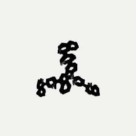 c1ccc2nc(-c3ccc(-n4c5ccc(-c6ccc(-c7nccc8ccccc78)cn6)cc5c5cc(-c6ccc(-c7nccc8ccccc78)cn6)c6ccccc6c54)nc3)ccc2c1